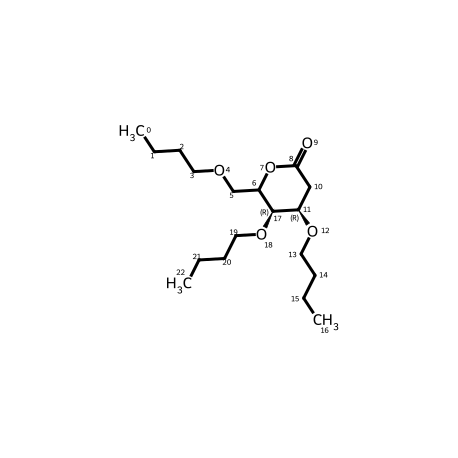 CCCCOCC1OC(=O)C[C@@H](OCCCC)[C@H]1OCCCC